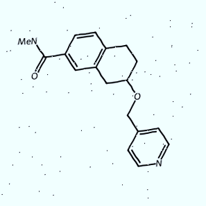 CNC(=O)c1ccc2c(c1)CC(OCc1ccncc1)CC2